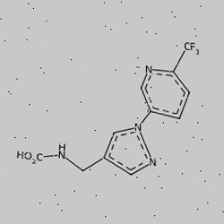 O=C(O)NCc1cnn(-c2ccc(C(F)(F)F)nc2)c1